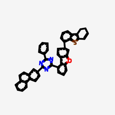 C1=Cc2sc3c(-c4ccc5c(c4)oc4cccc(-c6nc(-c7ccccc7)nc(-c7ccc8c(ccc9ccccc98)c7)n6)c45)cccc3c2CC1